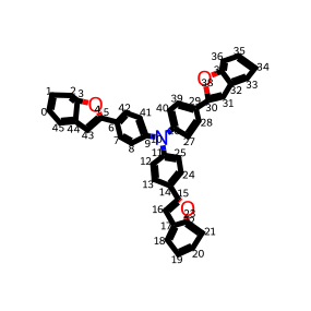 c1ccc2oc(-c3ccc(N(c4ccc(-c5cc6ccccc6o5)cc4)c4ccc(-c5cc6ccccc6o5)cc4)cc3)cc2c1